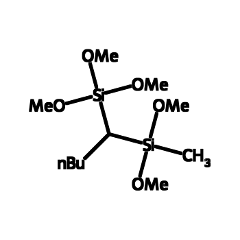 CCCCC([Si](C)(OC)OC)[Si](OC)(OC)OC